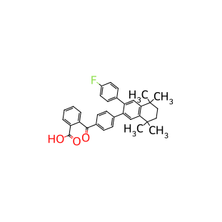 CC1(C)CCC(C)(C)c2cc(-c3ccc(C(=O)c4ccccc4C(=O)O)cc3)c(-c3ccc(F)cc3)cc21